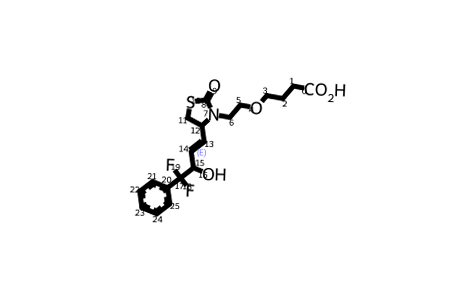 O=C(O)CCCOCCN1C(=O)SCC1/C=C/C(O)C(F)(F)c1ccccc1